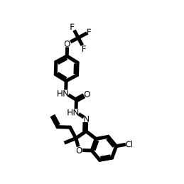 C=CCC1(C)Oc2ccc(Cl)cc2C1=NNC(=O)Nc1ccc(OC(F)(F)F)cc1